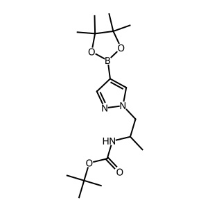 CC(Cn1cc(B2OC(C)(C)C(C)(C)O2)cn1)NC(=O)OC(C)(C)C